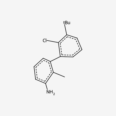 Cc1c(N)cccc1-c1cccc(C(C)(C)C)c1Cl